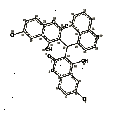 O=c1oc2ccc(Cl)cc2c(O)c1C(c1c(O)c2cc(Cl)ccc2oc1=O)c1ccnc2ccccc12